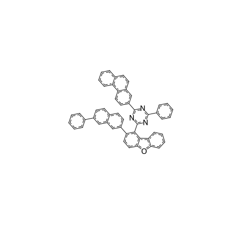 c1ccc(-c2ccc3ccc(-c4ccc5oc6ccccc6c5c4-c4nc(-c5ccccc5)nc(-c5ccc6c(ccc7ccccc76)c5)n4)cc3c2)cc1